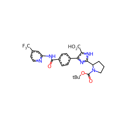 CC(C)(C)OC(=O)N1CCCC1c1nc(-c2ccc(C(=O)Nc3cc(C(F)(F)F)ccn3)cc2)c(C(=O)O)[nH]1